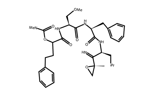 CNC(=O)OC(CCc1ccccc1)C(=O)N[C@@H](COC)C(=O)N[C@@H](Cc1ccccc1)C(=O)N[C@@H](CC(C)C)C(=N)[C@@]1(C)CO1